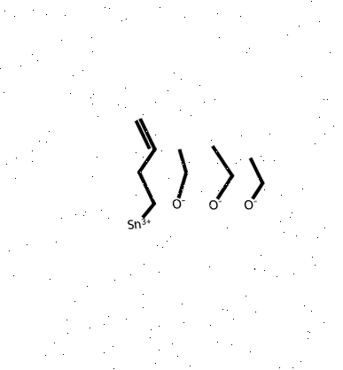 C=CC[CH2][Sn+3].CC[O-].CC[O-].CC[O-]